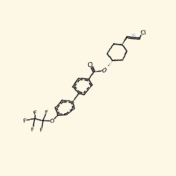 O=C(O[C@H]1CC[C@H](/C=C/Cl)CC1)c1ccc(-c2ccc(OC(F)(F)C(F)(F)F)cc2)cc1